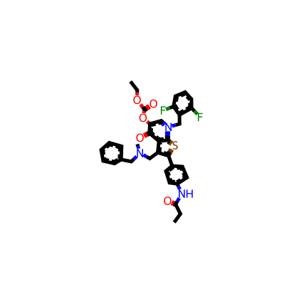 CCOC(=O)Oc1cn(Cc2c(F)cccc2F)c2sc(-c3ccc(NC(=O)CC)cc3)c(CN(C)Cc3ccccc3)c2c1=O